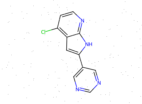 Clc1ccnc2[nH]c(-c3cncnc3)cc12